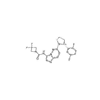 O=C(Nc1cnc2ccc(N3CCC[C@@H]3c3cc(F)ccc3F)nn12)N1CC(F)(F)C1